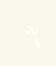 C#CC1CC1(F)F